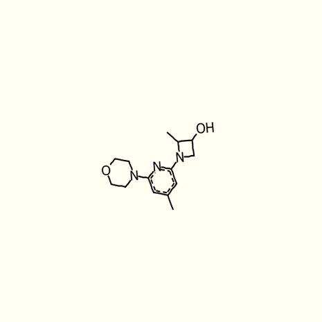 Cc1cc(N2CCOCC2)nc(N2CC(O)C2C)c1